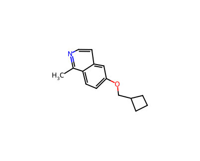 Cc1nccc2cc(OCC3CCC3)ccc12